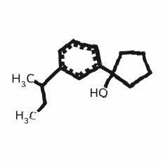 CCC(C)c1cccc(C2(O)CCCC2)c1